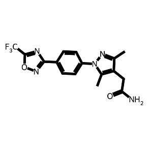 Cc1nn(-c2ccc(-c3noc(C(F)(F)F)n3)cc2)c(C)c1CC(N)=O